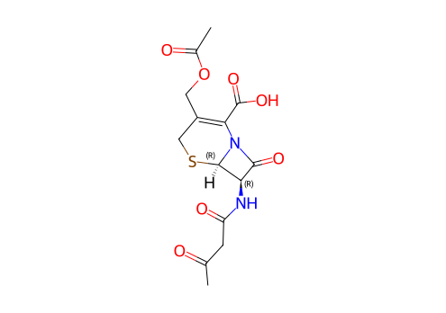 CC(=O)CC(=O)N[C@@H]1C(=O)N2C(C(=O)O)=C(COC(C)=O)CS[C@H]12